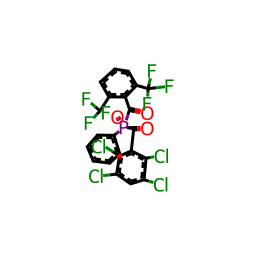 O=C(c1c(C(F)(F)F)cccc1C(F)(F)F)P(=O)(C(=O)c1c(Cl)c(Cl)cc(Cl)c1Cl)c1ccccc1